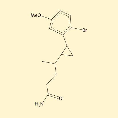 COc1ccc(Br)c(C2CC2C(C)CCC(N)=O)c1